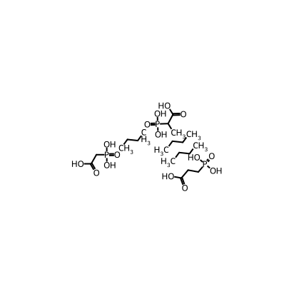 CC(C(=O)O)P(=O)(O)O.CCCC.CCCC.CCCC.O=C(O)CCP(=O)(O)O.O=C(O)CP(=O)(O)O